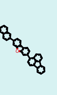 c1ccc2c(c1)-c1cccc3c(-c4ccc5c(c4)oc4cc(-c6ccc7ccccc7c6)ccc45)ccc-2c13